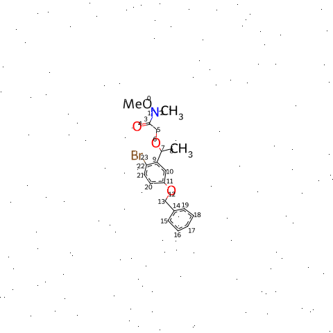 CON(C)C(=O)COC(C)c1cc(OCc2ccccc2)ccc1Br